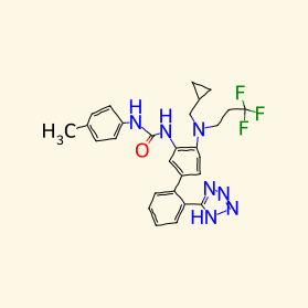 Cc1ccc(NC(=O)Nc2cc(-c3ccccc3-c3nnn[nH]3)ccc2N(CCC(F)(F)F)CC2CC2)cc1